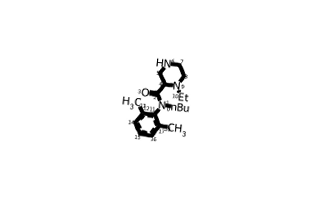 CCCCN(C(=O)C1CNCCN1CC)c1c(C)cccc1C